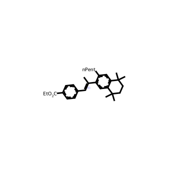 CCCCCc1cc2c(cc1/C(C)=C/c1ccc(C(=O)OCC)cc1)C(C)(C)CCC2(C)C